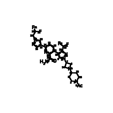 CC(=O)N1CCC(N2CC(n3cc(-c4ccc(-c5cnn(CC(F)F)c5)nc4C(N)=O)c(C(F)F)n3)C2)CC1